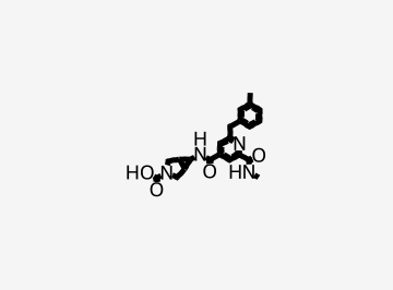 CNC(=O)c1cc(C(=O)NC2C3CN(C(=O)O)CC32)cc(Cc2cccc(C)c2)n1